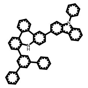 c1ccc(-c2cc(-c3ccccc3)cc(-c3cccc4c3Nc3ccc(-c5ccc6c(c5)c5ccccc5n6-c5ccccc5)cc3-c3ccccc3-4)c2)cc1